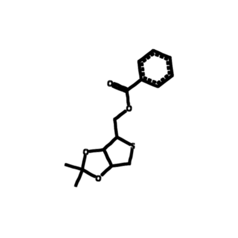 CC1(C)OC2CSC(COC(=O)c3ccccc3)C2O1